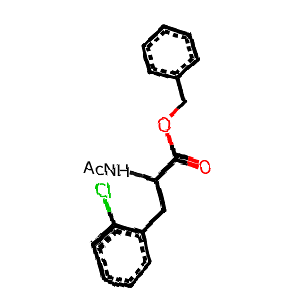 CC(=O)NC(Cc1ccccc1Cl)C(=O)OCc1ccccc1